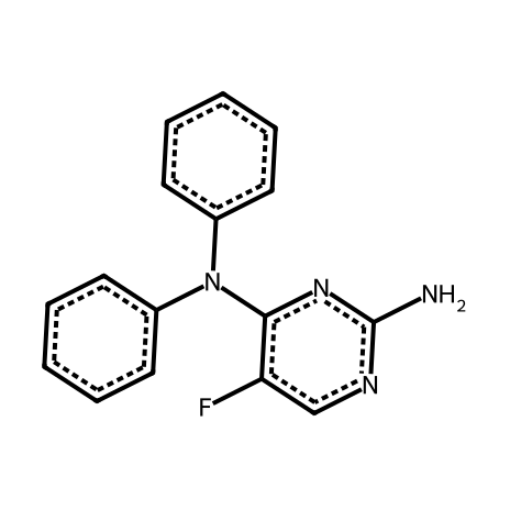 Nc1ncc(F)c(N(c2ccccc2)c2ccccc2)n1